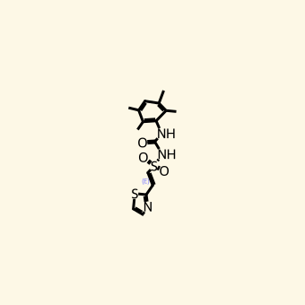 Cc1cc(C)c(C)c(NC(=O)NS(=O)(=O)/C=C/c2nccs2)c1C